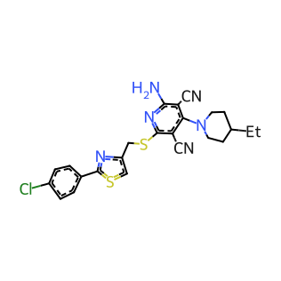 CCC1CCN(c2c(C#N)c(N)nc(SCc3csc(-c4ccc(Cl)cc4)n3)c2C#N)CC1